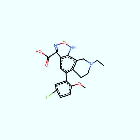 CCN1CCc2c(-c3cc(F)ccc3OC)cc3c(c2C1)NON=C3C(=O)O